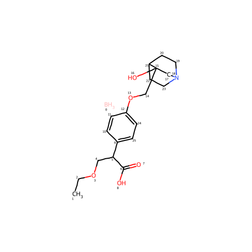 B.CCOCC(C(=O)O)c1ccc(OCC2(O)CN3CCC2CC3)cc1